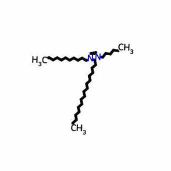 CCCCCCCCCCCCCCCCCC1N(CCCCCC)C=CN1CCCCCCCCCCC